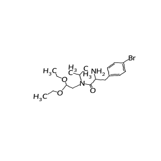 CCOC(CN(C(=O)C(N)Cc1ccc(Br)cc1)C(C)C)OCC